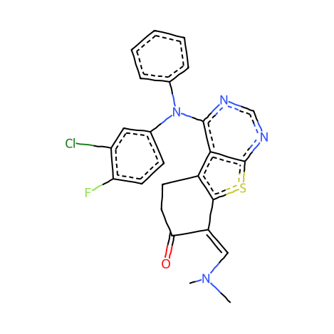 CN(C)C=C1C(=O)CCc2c1sc1ncnc(N(c3ccccc3)c3ccc(F)c(Cl)c3)c21